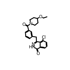 CCOC1CCN(C(=O)c2cccc(Cc3n[nH]c(=O)c4cccc(Cl)c34)c2)CC1